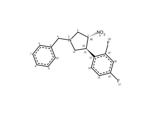 O=[N+]([O-])[C@H]1CN(Cc2ccccc2)C[C@@H]1c1ccc(F)cc1F